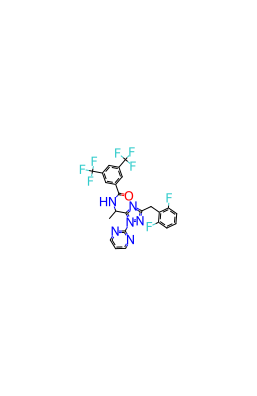 CC(NC(=O)c1cc(C(F)(F)F)cc(C(F)(F)F)c1)c1nc(Cc2c(F)cccc2F)nn1-c1ncccn1